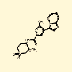 Cc1sc(C(=O)N[C@H]2CCS(=O)(=O)C[C@H]2N)cc1-c1cnc2cccnn12